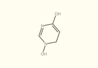 OC1=CCN(O)[C]=N1